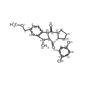 COCc1ncc2c(n1)N(C)C(C=O)N2C(=O)N1CC[C@H](Oc2ccc(Cl)cc2)C1